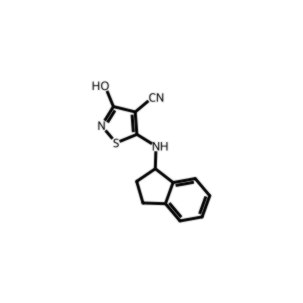 N#Cc1c(O)nsc1NC1CCc2ccccc21